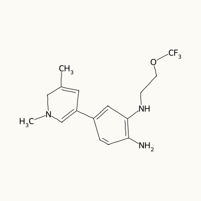 CC1=CC(c2ccc(N)c(NCCOC(F)(F)F)c2)=CN(C)C1